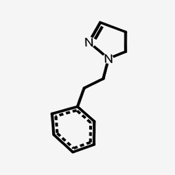 C1=NN(CCc2ccccc2)CC1